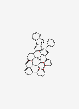 c1ccc(-c2ccc(N(c3ccccc3-c3ccc4oc5ccccc5c4c3)c3ccccc3-c3cccc4cccc(-c5ccccc5)c34)c(-c3ccccc3)c2)cc1